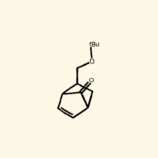 CC(C)(C)OCC1CC2C=CC1C2=O